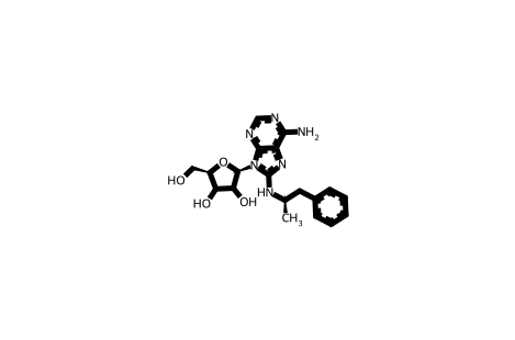 C[C@H](Cc1ccccc1)Nc1nc2c(N)ncnc2n1[C@@H]1O[C@H](CO)C(O)C1O